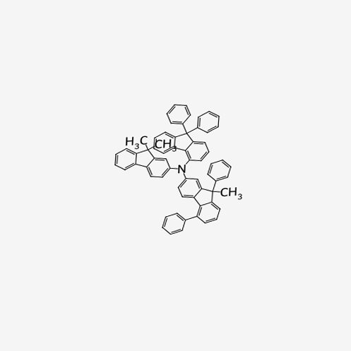 CC1(C)c2ccccc2-c2ccc(N(c3ccc4c(c3)C(C)(c3ccccc3)c3cccc(-c5ccccc5)c3-4)c3cccc4c3-c3ccccc3C4(c3ccccc3)c3ccccc3)cc21